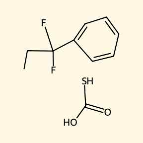 CCC(F)(F)c1ccccc1.O=C(O)S